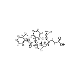 O=C(O)CCC(=O)N(C1CC1)[C@H]1c2ccccc2N(C(=O)N2CCc3ccccc32)[C@@H]2CCC[C@@H]21